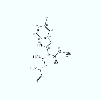 C=CC(O)CC(O)C(C(=O)OC(C)(C)C)c1cc2cc(C)ccc2[nH]1